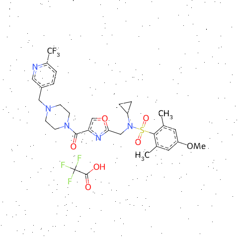 COc1cc(C)c(S(=O)(=O)N(Cc2nc(C(=O)N3CCN(Cc4ccc(C(F)(F)F)nc4)CC3)co2)C2CC2)c(C)c1.O=C(O)C(F)(F)F